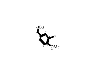 COc1ccc(CC(C)(C)C)cc1C